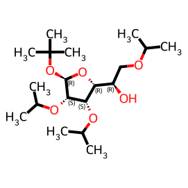 CC(C)OC[C@@H](O)[C@H]1O[C@H](OC(C)(C)C)[C@@H](OC(C)C)[C@H]1OC(C)C